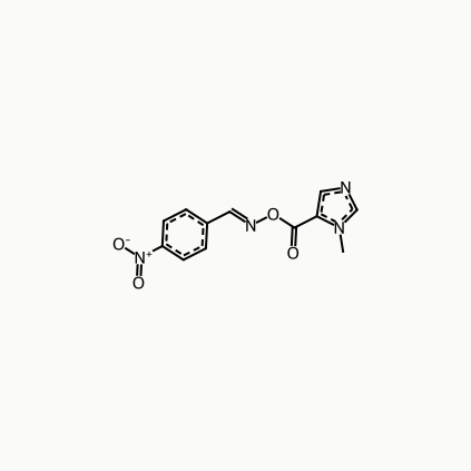 Cn1cncc1C(=O)ON=Cc1ccc([N+](=O)[O-])cc1